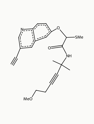 C#Cc1cnc2ccc(OC(SC)C(=O)NC(C)(C)C#CCCOC)cc2c1